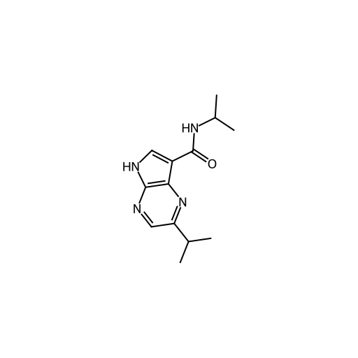 CC(C)NC(=O)c1c[nH]c2ncc(C(C)C)nc12